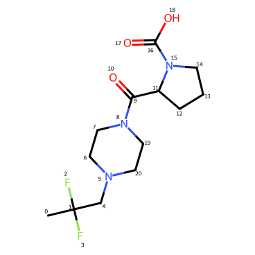 CC(F)(F)CN1CCN(C(=O)C2CCCN2C(=O)O)CC1